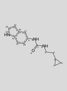 O=C(NCCC1CC1)Nc1ccc2[nH]ccc2c1